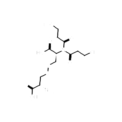 CCCC(=O)N(C(=O)CCC)[C@@H](CSSC[C@H](N)C(=O)O)C(=O)O